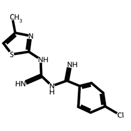 Cc1csc(NC(=N)NC(=N)c2ccc(Cl)cc2)n1